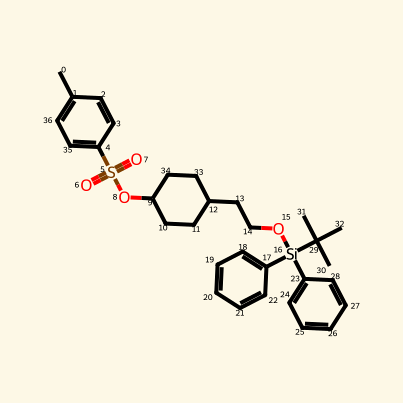 Cc1ccc(S(=O)(=O)OC2CCC(CCO[Si](c3ccccc3)(c3ccccc3)C(C)(C)C)CC2)cc1